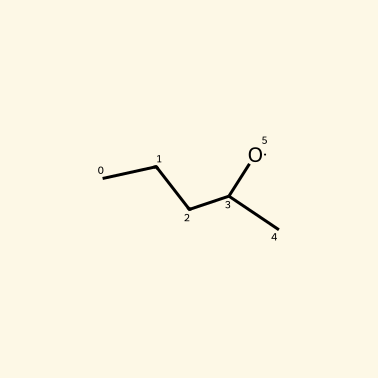 CCCC(C)[O]